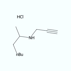 C#CCNC(C)CCCCC.Cl